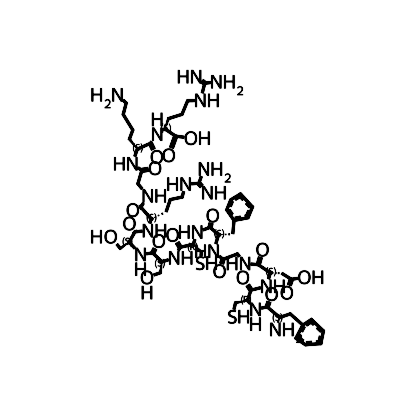 N=C(N)NCCC[C@H](NC(=O)[C@H](CCCCN)NC(=O)CNC(=O)[C@H](CCCNC(=N)N)NC(=O)[C@H](CO)NC(=O)[C@H](CO)NC(=O)[C@H](CS)NC(=O)[C@H](Cc1ccccc1)NC(=O)CNC(=O)[C@H](CC(=O)O)NC(=O)[C@H](CS)NC(=O)[C@@H](N)Cc1ccccc1)C(=O)O